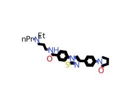 CCCN(CC)CCCNC(=O)c1ccc2c(c1)sc1nc(-c3ccc(N4CCCC4=O)cc3)cn12